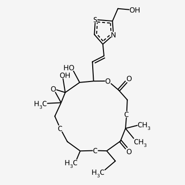 CCC1CC(C)CCCC2(C)OC2(O)C(O)C(C=Cc2csc(CO)n2)OC(=O)CCC(C)(C)C1=O